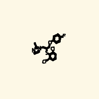 Cc1nccn1CC(COc1ccc(F)cc1)Sc1c(Cl)cccc1Cl